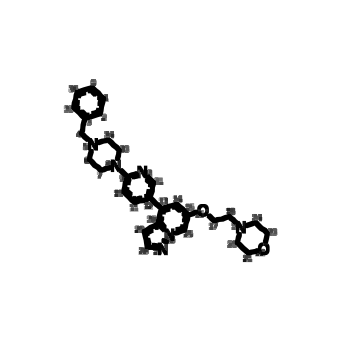 c1ccc(CN2CCN(c3ccc(-c4cc(OCCN5CCOCC5)cn5nccc45)cn3)CC2)cc1